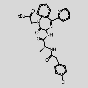 C[C@H](NC(=O)Cc1ccc(Cl)cc1)C(=O)NC1N=C(c2ccccn2)c2ccccc2N(CC(=O)C(C)(C)C)C1=O